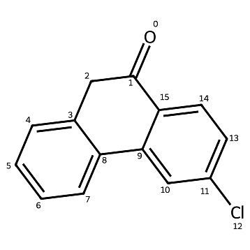 O=C1Cc2ccccc2-c2cc(Cl)ccc21